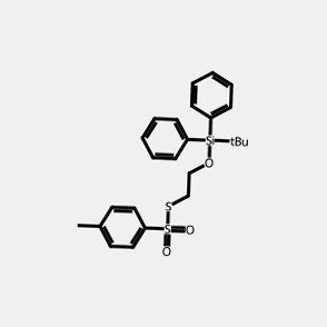 Cc1ccc(S(=O)(=O)SCCO[Si](c2ccccc2)(c2ccccc2)C(C)(C)C)cc1